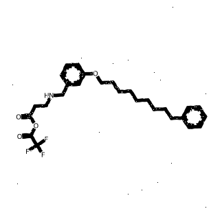 O=C(CCNCc1cccc(OCCCCCCCCCc2ccccc2)c1)OC(=O)C(F)(F)F